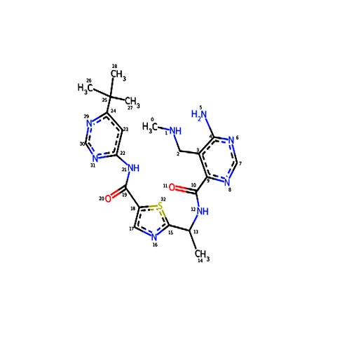 CNCc1c(N)ncnc1C(=O)NC(C)c1ncc(C(=O)Nc2cc(C(C)(C)C)ncn2)s1